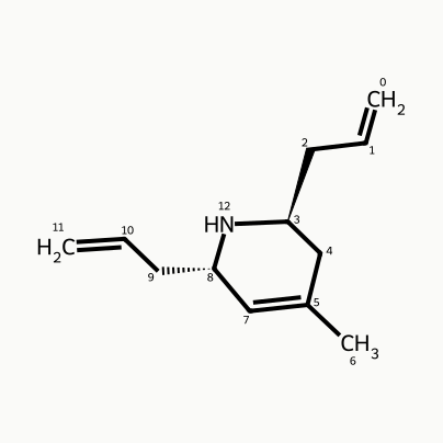 C=CC[C@H]1CC(C)=C[C@H](CC=C)N1